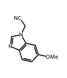 COc1ccc2ncn(CC#N)c2c1